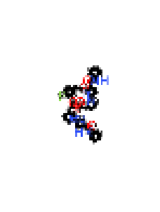 O=C(C[C@@H]1CCCN(c2ccc(C(=O)NC3CCCCC3)cn2)C1)OC(=O)C[C@@H]1CCCN(c2ccc(C(=O)NC3CCCCC3)c(OCCc3ccc(F)cc3)n2)C1